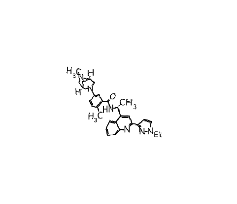 CCn1ccc(-c2cc([C@@H](C)NC(=O)c3cc(N4C[C@H]5C[C@@H]4CN5C)ccc3C)c3ccccc3n2)n1